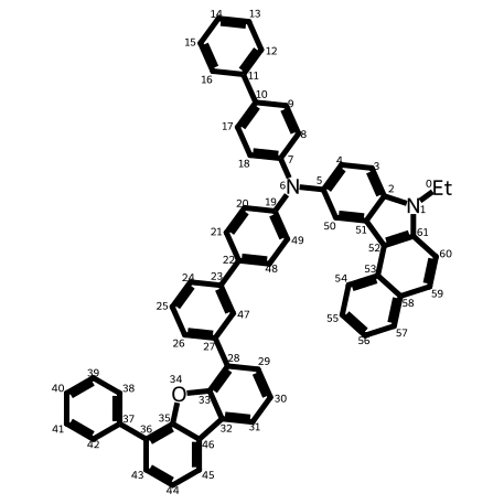 CCn1c2ccc(N(c3ccc(-c4ccccc4)cc3)c3ccc(-c4cccc(-c5cccc6c5oc5c(-c7ccccc7)cccc56)c4)cc3)cc2c2c3ccccc3ccc21